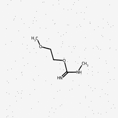 CNC(=N)OCCOC